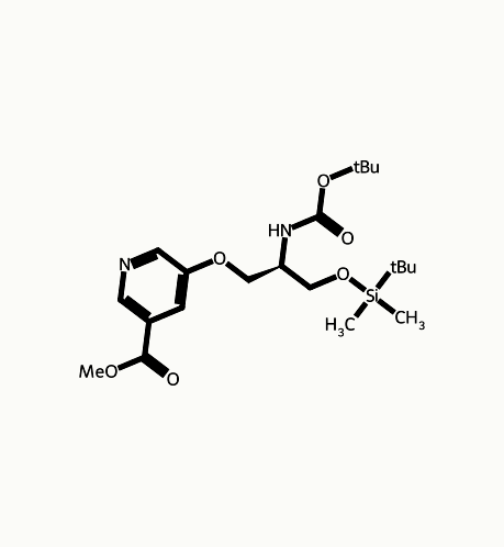 COC(=O)c1cncc(OC[C@H](CO[Si](C)(C)C(C)(C)C)NC(=O)OC(C)(C)C)c1